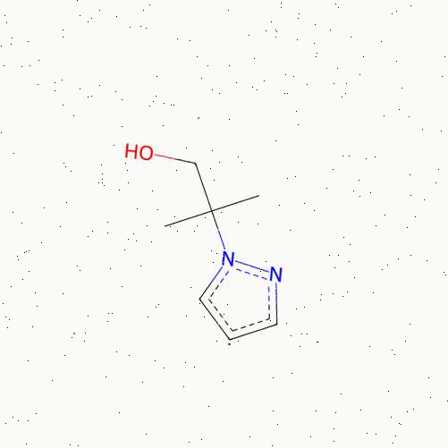 CC(C)(CO)n1c[c]cn1